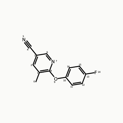 Cc1cc(C#N)cnc1Oc1ccc(F)cc1